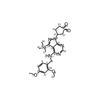 COc1ccc(CNc2ncnc3c2[c]([Sn]([CH3])([CH3])[CH3])nn3C2CCS(=O)(=O)C2)c(OC)c1